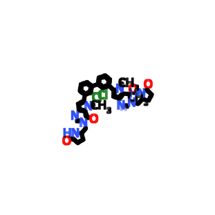 CN(/C=N\c1cc(-c2cccc(-c3cccc(-c4cc5ncn(CC6CCC(=O)N6)c(=O)c5n4C)c3Cl)c2Cl)n(C)c1C=O)CC1CCC(=O)N1